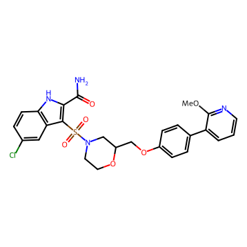 COc1ncccc1-c1ccc(OCC2CN(S(=O)(=O)c3c(C(N)=O)[nH]c4ccc(Cl)cc34)CCO2)cc1